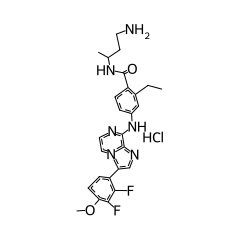 CCc1cc(Nc2nccn3c(-c4ccc(OC)c(F)c4F)cnc23)ccc1C(=O)NC(C)CCN.Cl